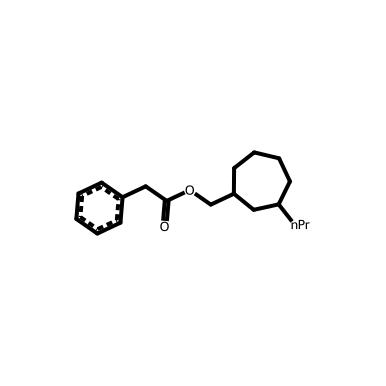 CCCC1CCCCC(COC(=O)Cc2ccccc2)C1